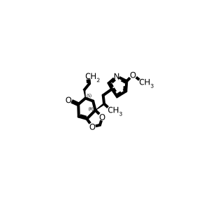 C=CC[C@H]1C[C@]2(C(C)Cc3ccc(OC)nc3)OCOC2=CC1=O